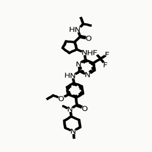 CCOc1cc(Nc2ncc(C(F)(F)F)c(NC3CCCC3C(=O)NC(C)C)n2)ccc1C(=O)N(C)C1CCN(C)CC1